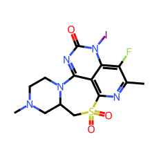 Cc1nc2c3c(nc(=O)n(I)c3c1F)N1CCN(C)CC1CS2(=O)=O